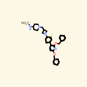 O=C(O)NC1CCN(CC2CN(c3ccc(-c4ccc(OCc5ccccc5)nc4OCc4ccccc4)cc3F)C2)CC1